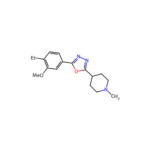 CCc1ccc(-c2nnc(C3CCN(C)CC3)o2)cc1OC